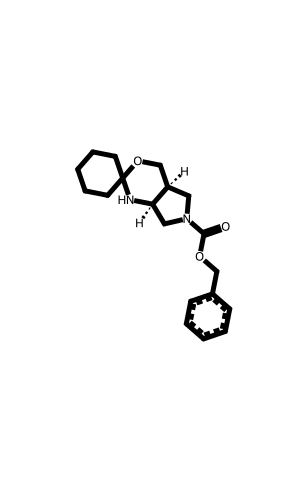 O=C(OCc1ccccc1)N1C[C@@H]2COC3(CCCCC3)N[C@@H]2C1